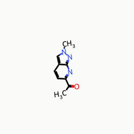 CC(=O)c1ccc2cn(C)nc2n1